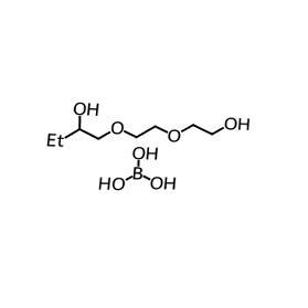 CCC(O)COCCOCCO.OB(O)O